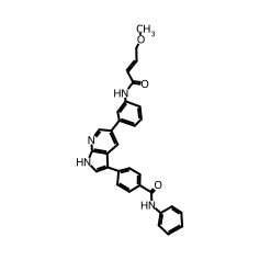 COCC=CC(=O)Nc1cccc(-c2cnc3[nH]cc(-c4ccc(C(=O)Nc5ccccc5)cc4)c3c2)c1